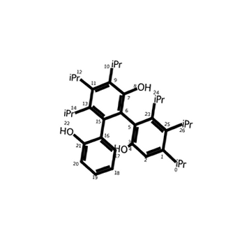 CC(C)c1cc(O)c(-c2c(O)c(C(C)C)c(C(C)C)c(C(C)C)c2-c2ccccc2O)c(C(C)C)c1C(C)C